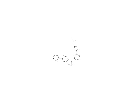 CC1(C)[C@H]2CC[C@]1(c1cncc(-c3nc(C[C@H](O)CO)n[nH]3)n1)c1nnc(-c3c(F)cccc3F)cc12